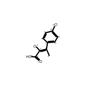 C/C(=C(/Cl)C(=O)O)c1ccc(Cl)cc1